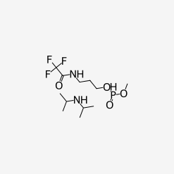 CC(C)NC(C)C.CO[PH](=O)OCCCNC(=O)C(F)(F)F